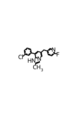 CC1=CN2C=C(Cc3ccc(F)nc3)C=C(c3cccc(Cl)c3)C2N1